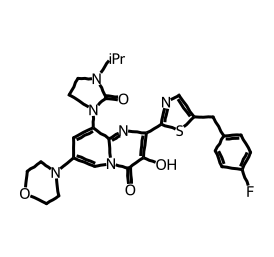 CC(C)N1CCN(c2cc(N3CCOCC3)cn3c(=O)c(O)c(-c4ncc(Cc5ccc(F)cc5)s4)nc23)C1=O